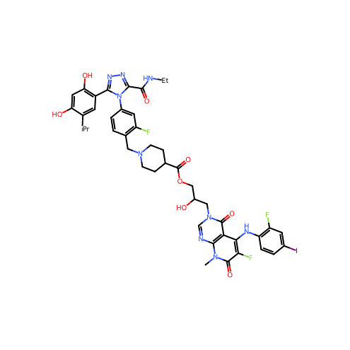 CCNC(=O)c1nnc(-c2cc(C(C)C)c(O)cc2O)n1-c1ccc(CN2CCC(C(=O)OCC(O)Cn3cnc4c(c(Nc5ccc(I)cc5F)c(F)c(=O)n4C)c3=O)CC2)c(F)c1